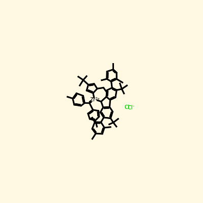 CCC1C=C(C(C)(C)C)C=[C]1[Zr+2](=[C](c1ccc(C)cc1)c1ccc(C)cc1)[CH]1c2cc(-c3c(C)cc(C)cc3C)c(C(C)(C)C)cc2-c2cc(C(C)(C)C)c(-c3c(C)cc(C)cc3C)cc21.[Cl-].[Cl-]